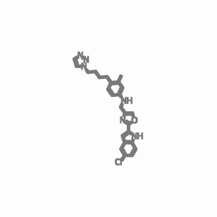 Cc1cc(NCc2coc(-c3cc4cc(Cl)ccc4[nH]3)n2)ccc1CCCCn1ccnn1